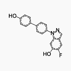 Oc1ccc(-c2ccc(-n3ncc4cc(F)c(O)cc43)cc2)cc1